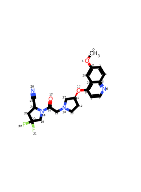 COc1ccc2nccc(O[C@H]3CCN(CC(=O)N4CC(F)(F)CC4C#N)C3)c2c1